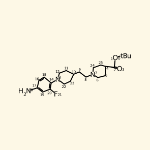 CC(C)(C)OC(=O)C1CCN(CCC2CCN(c3ccc(N)cc3F)CC2)CC1